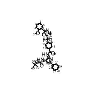 COc1ccccc1-c1nnc(C(F)(F)c2ccc(C(=O)Nc3nn(-c4ccccc4)cc3NC(=O)OC(C)(C)C)cc2)o1